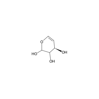 OC1OC=C[C@@H](O)C1O